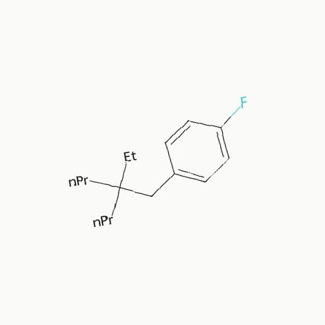 CCCC(CC)(CCC)Cc1ccc(F)cc1